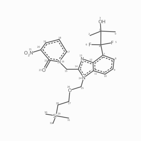 CC(C)(O)C(F)(F)c1cccc2c1nc(Cn1cccc([N+](=O)[O-])c1=O)n2COCC[Si](C)(C)C